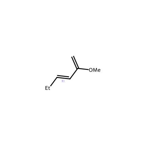 C=C(/C=C/CC)OC